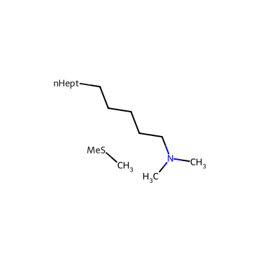 CCCCCCCCCCCCN(C)C.CSC